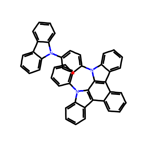 c1ccc(-n2c3ccccc3c3c4ccccc4c4c5ccccc5n(-c5ccc(-n6c7ccccc7c7ccccc76)cc5)c4c32)cc1